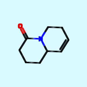 O=C1CCCC2C=CCCN12